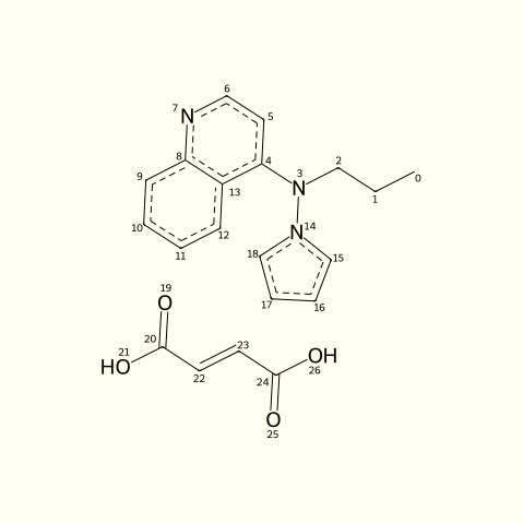 CCCN(c1ccnc2ccccc12)n1cccc1.O=C(O)C=CC(=O)O